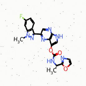 C[C@H](NC(=O)Oc1c[nH]c2ncc(-c3nn(C)c4cc(F)ccc34)nc12)c1ncco1